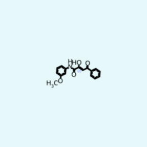 COc1cccc(NC(=O)/C(O)=C/C(=O)c2ccccc2)c1